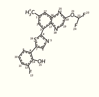 Cc1cc(-c2ncc(-c3cccc(F)c3O)s2)c2ncc(OC(F)F)nc2c1